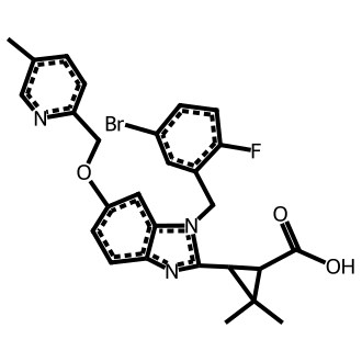 Cc1ccc(COc2ccc3nc(C4C(C(=O)O)C4(C)C)n(Cc4cc(Br)ccc4F)c3c2)nc1